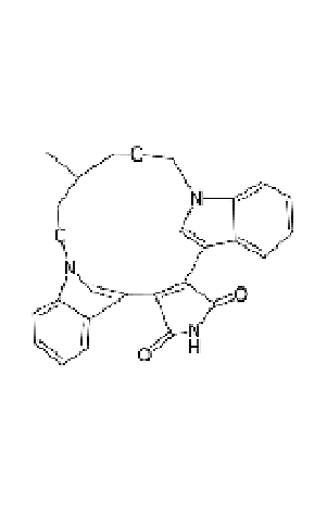 CC1CCCn2cc(c3ccccc32)C2=C(C(=O)NC2=O)c2cn(c3ccccc23)CC1